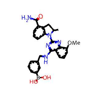 COc1cccc2c(NCc3cccc(B(O)O)c3)nc(N3c4cccc(C(N)=O)c4CC3C)nc12